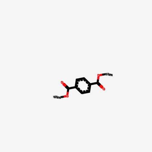 CCCCCCOC(=O)c1ccc(C(=O)OCCCCCC)cc1